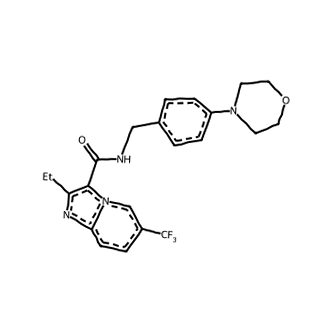 CCc1nc2ccc(C(F)(F)F)cn2c1C(=O)NCc1ccc(N2CCOCC2)cc1